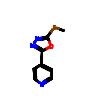 CSc1nnc(-c2ccncc2)o1